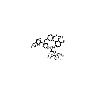 CC(C)(C)OC(=O)N[C@H]1CC[C@](Cc2ccc(F)c(-c3cccc(F)c3O)c2)(c2nc(CO)co2)C1